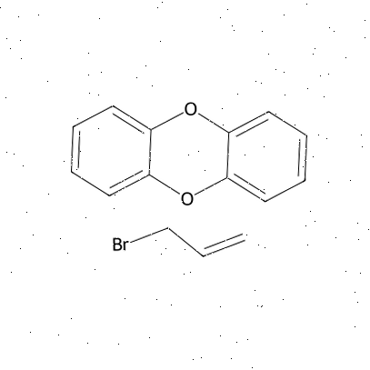 C=CCBr.c1ccc2c(c1)Oc1ccccc1O2